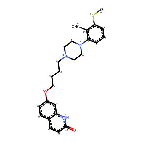 CC(C)(C)Sc1cccc(N2CCN(CCCCOc3ccc4ccc(=O)[nH]c4c3)CC2)c1C=O